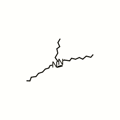 CCCCCCCCCN1C=CN(CCCCCCCCC)C1CCCCCC